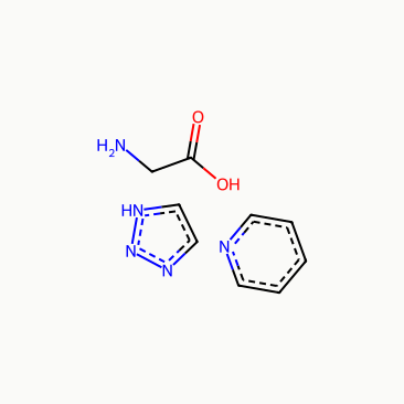 NCC(=O)O.c1c[nH]nn1.c1ccncc1